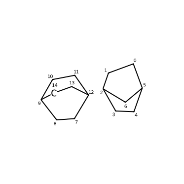 C1CC2CCC1C2.C1CC2CCC1CC2